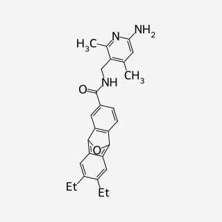 CCc1cc2c(cc1CC)c1oc2c2ccc(C(=O)NCc3c(C)cc(N)nc3C)cc21